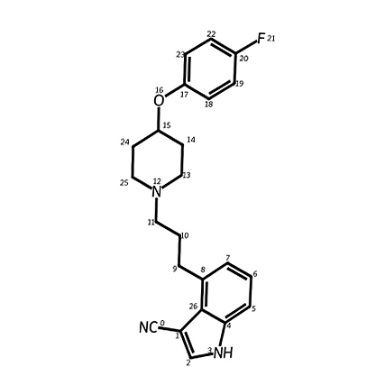 N#Cc1c[nH]c2cccc(CCCN3CCC(Oc4ccc(F)cc4)CC3)c12